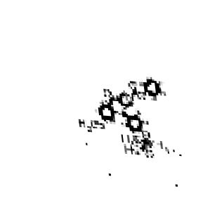 CSc1ccc(C(=O)[C@@H]2CN(C(=O)Oc3ccccc3)C[C@H]2Cc2ccc(OC(C)(C)C(=O)O)cc2F)cc1